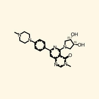 CN1CCN(c2ccc(-c3cc4ncn(C)c(=O)c4c(N4C[C@H](O)[C@@H](O)C4)n3)cc2)CC1